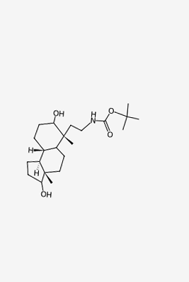 CC(C)(C)OC(=O)NCC[C@@]1(C)C(O)CC[C@@H]2C1CC[C@]1(C)C(O)CC[C@@H]21